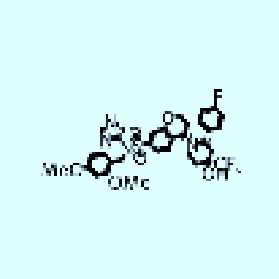 COc1ccc(CN(c2ncns2)S(=O)(=O)c2ccc3c(c2)OCC[C@@H]3N2CC[C@@](O)(C(F)(F)F)C[C@H]2c2ccc(F)cc2)c(OC)c1